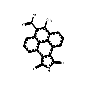 Cc1c(C(=O)N=O)c2cccc3c4c(=O)[nH]c(=O)c4c4cccc1c4c23